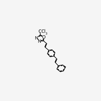 ClC(Cl)(Cl)c1nnc(C=Cc2ccc(C=Cc3ccccc3)cc2)o1